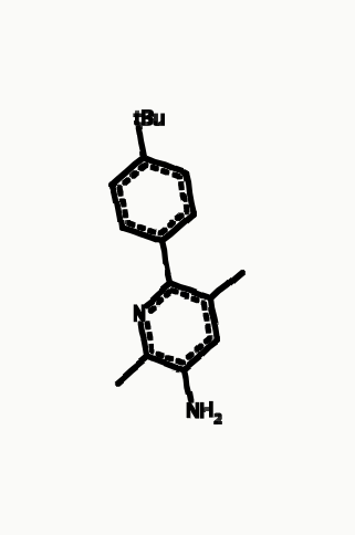 Cc1cc(N)c(C)nc1-c1ccc(C(C)(C)C)cc1